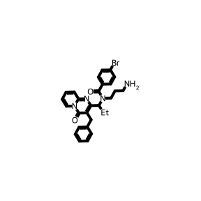 CCC(c1nc2ccccn2c(=O)c1Cc1ccccc1)N(CCCN)C(=O)c1ccc(Br)cc1